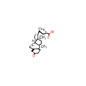 C[C@H](CCC(=O)O)[C@H]1CCC2[C@@H]3CCC4=CC(=O)CC[C@]4(C)C3CC[C@@]21C